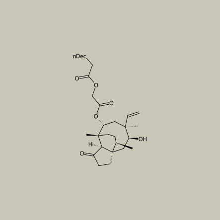 C=C[C@]1(C)C[C@@H](OC(=O)COC(=O)CCCCCCCCCCC)[C@]2(C)CC[C@@H](C)[C@@]3(CCC(=O)[C@@H]23)C[C@@H]1O